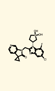 O=C1N(Cc2nc3cc(Cl)cc(F)c3n2[C@@H]2CCS(O)(O)C2)c2cnccc2C12CC2